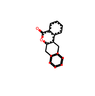 O=c1oc2c(c3ccccc13)C1c3ccccc3C2c2ccccc21